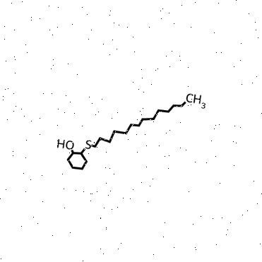 CCCCCCCCCCCCCCSC1CCCCC1O